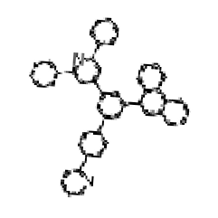 c1ccc(-c2cc(-c3cc(-c4ccc(-c5ccccn5)cc4)cc(-c4cc5ccccc5c5ccccc45)c3)cc(-c3ccccc3)n2)cc1